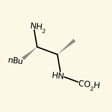 CCCC[C@H](N)[C@H](C)NC(=O)O